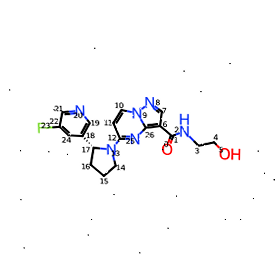 O=C(NCCO)c1cnn2ccc(N3CCC[C@@H]3c3cncc(F)c3)nc12